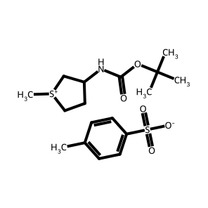 C[S+]1CCC(NC(=O)OC(C)(C)C)C1.Cc1ccc(S(=O)(=O)[O-])cc1